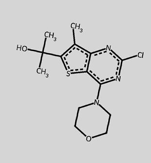 Cc1c(C(C)(C)O)sc2c(N3CCOCC3)nc(Cl)nc12